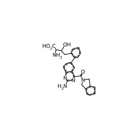 Nc1nc(C(=O)N2Cc3ccccc3C2)c2cc(-c3ccccc3CC(O)C(N)C(=O)O)ccc2n1